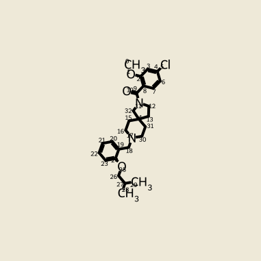 COc1cc(Cl)ccc1C(=O)N1CCC2(CCN(Cc3ccccc3OCC(C)C)CC2)C1